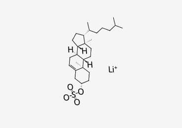 CC(C)CCCC(C)[C@H]1CC[C@H]2[C@@H]3CC=C4C[C@@H](OS(=O)(=O)[O-])CC[C@]4(C)[C@H]3CC[C@]12C.[Li+]